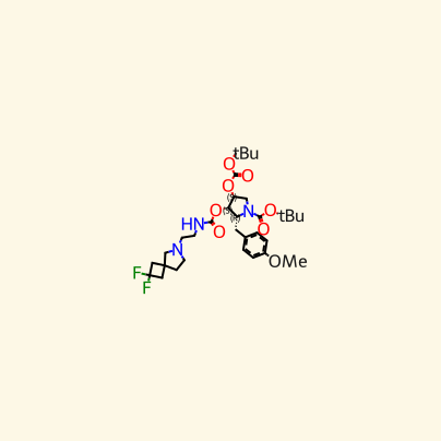 COc1ccc(C[C@@H]2[C@H](OC(=O)NCCN3CCC4(C3)CC(F)(F)C4)[C@@H](OC(=O)OC(C)(C)C)CN2C(=O)OC(C)(C)C)cc1